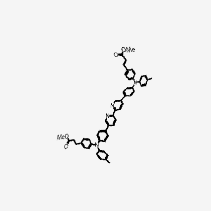 COC(=O)CCc1ccc(N(c2ccc(C)cc2)c2ccc(-c3ccc(-c4ccc(-c5ccc(N(c6ccc(C)cc6)c6ccc(CCC(=O)OC)cc6)cc5)cn4)nc3)cc2)cc1